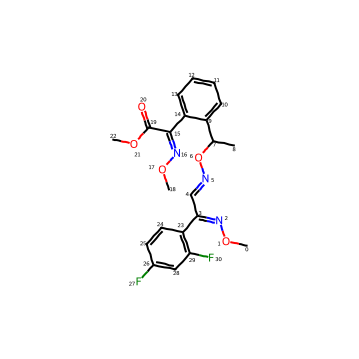 CON=C(C=NOC(C)c1ccccc1C(=NOC)C(=O)OC)c1ccc(F)cc1F